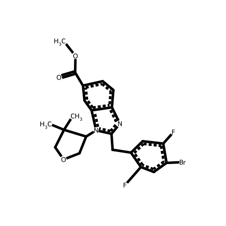 COC(=O)c1ccc2nc(Cc3cc(F)c(Br)cc3F)n(C3COCC3(C)C)c2c1